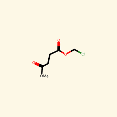 COC(=O)CCC(=O)OCCl